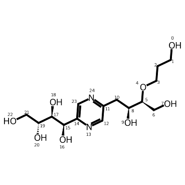 OCCCO[C@@H](CO)[C@@H](O)Cc1cnc([C@@H](O)[C@H](O)[C@H](O)CO)cn1